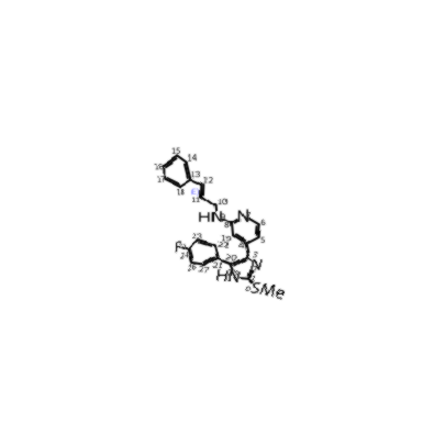 CSc1nc(-c2ccnc(NC/C=C/c3ccccc3)c2)c(-c2ccc(F)cc2)[nH]1